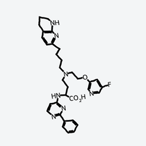 O=C(O)C(CCN(CCCCc1ccc2c(n1)NCCC2)CCOc1cncc(F)c1)Nc1ccnc(-c2ccccc2)n1